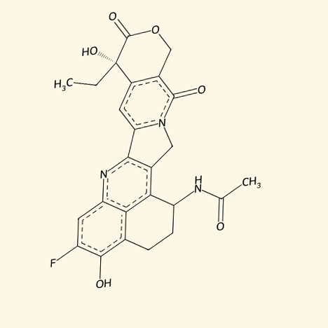 CC[C@@]1(O)C(=O)OCc2c1cc1n(c2=O)Cc2c-1nc1cc(F)c(O)c3c1c2C(NC(C)=O)CC3